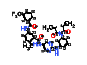 C=CC(=O)N(C(=O)C=C)c1cccc(Nc2ncc(NC(=O)c3cc(NC(=O)c4cccc(C(F)(F)F)c4)ccc3C)cn2)c1